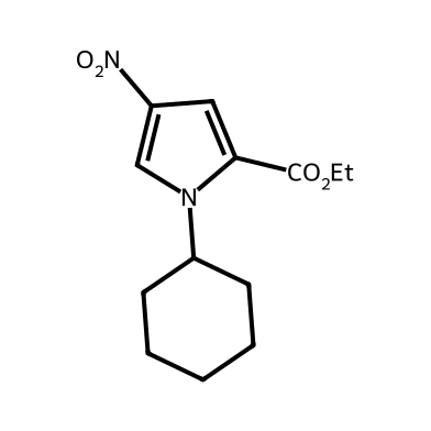 CCOC(=O)c1cc([N+](=O)[O-])cn1C1CCCCC1